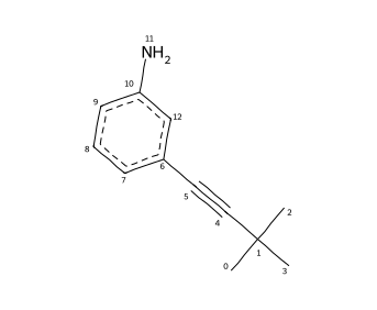 CC(C)(C)C#Cc1cccc(N)c1